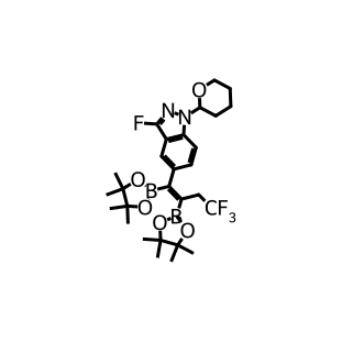 CC1(C)OB(C(CC(F)(F)F)=C(B2OC(C)(C)C(C)(C)O2)c2ccc3c(c2)c(F)nn3C2CCCCO2)OC1(C)C